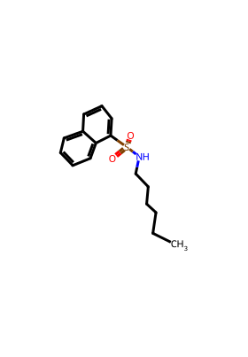 CCCCCCNS(=O)(=O)c1cccc2ccccc12